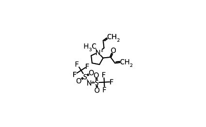 C=CC[N+]1(C)CCCC1C(=O)C=C.O=S(=O)([N-]S(=O)(=O)C(F)(F)F)C(F)(F)F